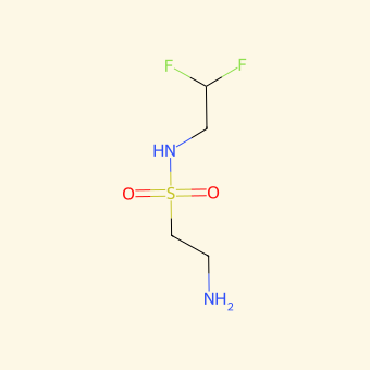 NCCS(=O)(=O)NCC(F)F